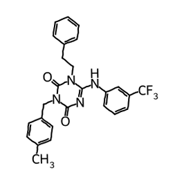 Cc1ccc(Cn2c(=O)nc(Nc3cccc(C(F)(F)F)c3)n(CCc3ccccc3)c2=O)cc1